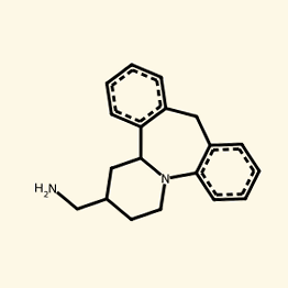 NCC1CCN2c3ccccc3Cc3ccccc3C2C1